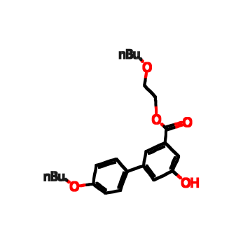 CCCCOCCOC(=O)c1cc(O)cc(-c2ccc(OCCCC)cc2)c1